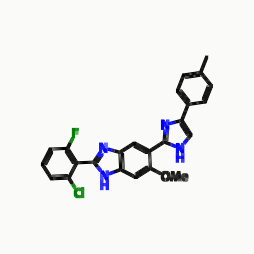 COc1cc2[nH]c(-c3c(F)cccc3Cl)nc2cc1-c1nc(-c2ccc(C)cc2)c[nH]1